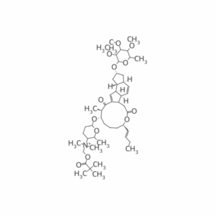 CC/C=C/[C@H]1CCC[C@H](OC2CCC([N+](C)(C)COC(=O)C(C)(C)C)C(C)O2)[C@@H](C)C(=O)C2=C[C@H]3[C@@H]4C[C@H](OC5OC(C)C(OC)C(OC)C5OC)C[C@H]4C=C[C@H]3C2CC(=O)O1